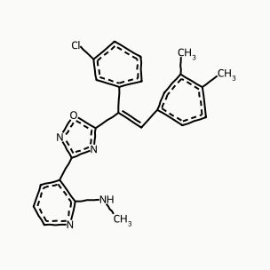 CNc1ncccc1-c1noc(C(=Cc2ccc(C)c(C)c2)c2cccc(Cl)c2)n1